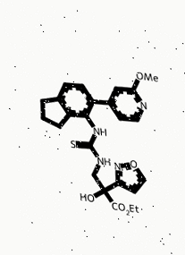 CCOC(=O)C(O)(CNC(=S)Nc1c(-c2ccnc(OC)c2)ccc2c1CCC2)c1ccon1